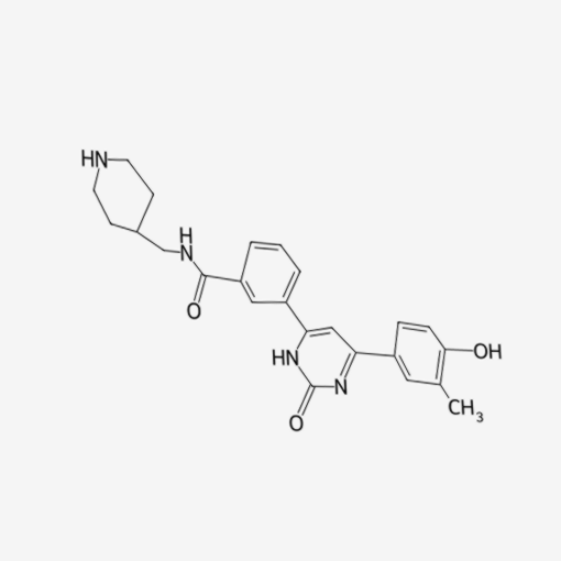 Cc1cc(-c2cc(-c3cccc(C(=O)NCC4CCNCC4)c3)[nH]c(=O)n2)ccc1O